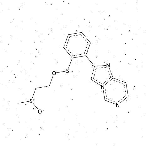 C[S+]([O-])CCOSc1ccccc1-c1cn2cnccc2n1